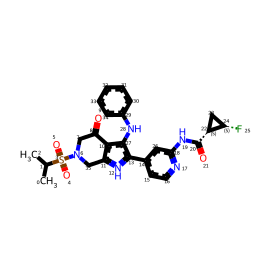 CC(C)S(=O)(=O)N1CC(=O)c2c([nH]c(-c3ccnc(NC(=O)[C@@H]4C[C@@H]4F)c3)c2Nc2ccccc2)C1